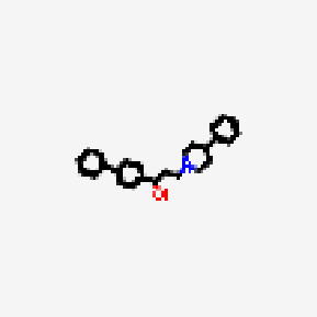 OC(CCN1CCC(c2ccccc2)CC1)c1ccc(-c2ccccc2)cc1